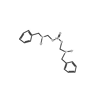 O=[PH](OC[S+]([O-])Cc1ccccc1)OC[S+]([O-])Cc1ccccc1